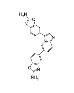 Nc1nc2cc(-c3ccc4ncc(-c5ccc6nc(N)oc6c5)n4c3)ccc2o1